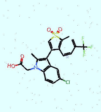 C=C(/C=C\C1=C(C)S(=O)(=O)C=C1c1c(C)n(CC(=O)O)c2ccc(Cl)cc12)C(F)(F)F